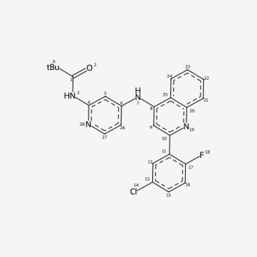 CC(C)(C)C(=O)Nc1cc(Nc2cc(-c3cc(Cl)ccc3F)nc3ccccc23)ccn1